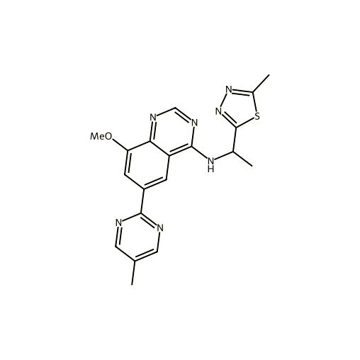 COc1cc(-c2ncc(C)cn2)cc2c(NC(C)c3nnc(C)s3)ncnc12